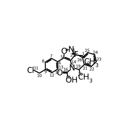 CCc1noc(-c2ccc(CCl)cc2)c1N(C(=O)O)C(C)c1ccccc1F